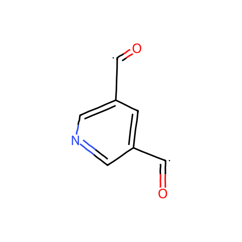 O=[C]c1cncc([C]=O)c1